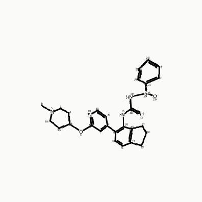 CN1CCC(Oc2cc(-c3ccc4c(c3NC(=O)N[S+]([O-])c3ccccc3)CCC4)ccn2)CC1